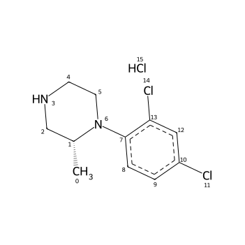 C[C@@H]1CNCCN1c1ccc(Cl)cc1Cl.Cl